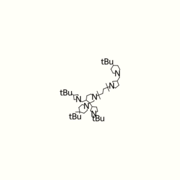 CC(C)(C)C1CCN(CC2CCN(C(C)(C)CCC(C)(C)N3CCC(CN4CC(C(C)(C)C)C4)C(C4CCN(C(C)(C)C)C4)(N4CCC(C)(C(C)(C)C)CC4)C3)C2)CC1